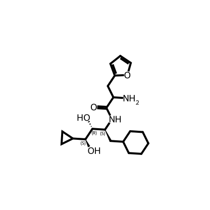 NC(Cc1ccco1)C(=O)N[C@@H](CC1CCCCC1)[C@@H](O)[C@@H](O)C1CC1